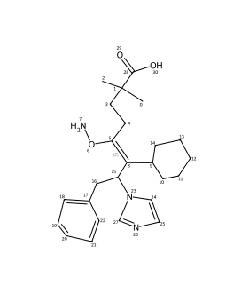 CC(C)(CC/C(ON)=C(\C1CCCCC1)C(Cc1ccccc1)n1ccnc1)C(=O)O